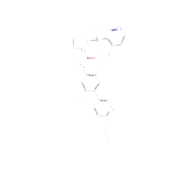 O=C(Nc1cc(Cl)c(-c2ccc(OCC(F)(F)F)nc2)cc1F)N1CCCC1C(F)(F)c1c(I)ccnc1F